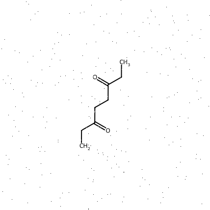 [CH2]CC(=O)CCC(=O)CC